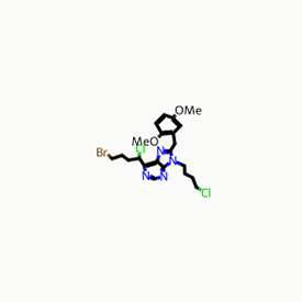 COc1ccc(OC)c(Cc2nc3c(C(Cl)CCCBr)ncnc3n2CCCCCl)c1